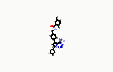 Cc1ccc(C)c(C(=O)NCc2ccc(-c3cc(C4CCCC4)n4ncnc(N)c34)cc2)c1